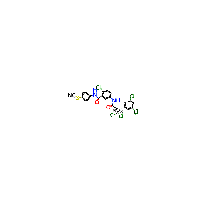 N#CSc1ccc(NC(=O)c2cc(NC(=O)[C@H]3[C@H](c4cc(Cl)cc(Cl)c4)C3(Cl)Cl)ccc2Cl)cc1